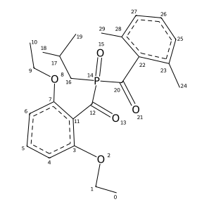 CCOc1cccc(OCC)c1C(=O)P(=O)(CC(C)C)C(=O)c1c(C)cccc1C